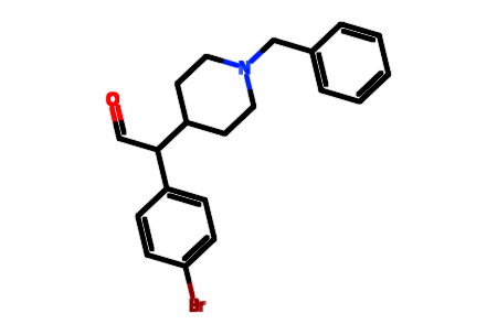 O=CC(c1ccc(Br)cc1)C1CCN(Cc2ccccc2)CC1